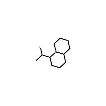 CC(F)C1CCCC2CCCCN21